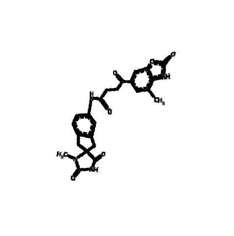 Cc1cc(C(=O)CCC(=O)Nc2ccc3c(c2)CC2(C3)C(=O)NC(=O)N2C)cc2oc(=O)[nH]c12